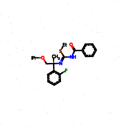 CCS/C(=N\[C@](C)(COC(C)C)c1ccccc1F)NC(=O)c1ccccc1